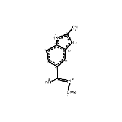 CCCC(=NOC)c1ccc2[nH]c(C#N)nc2c1